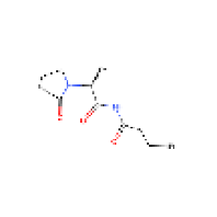 CCC(C)CCC(=O)NC(=O)[C@H](CC)N1CCCC1=O